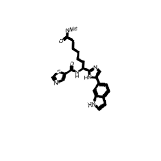 CNC(=O)CCCCCC(NC(=O)c1cncs1)c1ncc(-c2ccc3cc[nH]c3c2)[nH]1